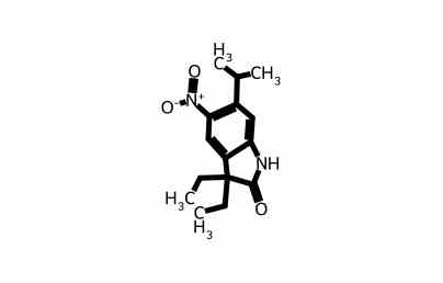 CCC1(CC)C(=O)Nc2cc(C(C)C)c([N+](=O)[O-])cc21